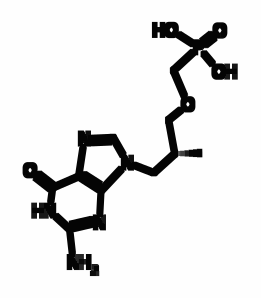 C[C@@H](COCP(=O)(O)O)Cn1cnc2c(=O)[nH]c(N)nc21